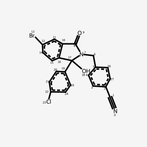 N#Cc1ccc(CN2C(=O)c3cc(Br)ccc3C2(O)c2ccc(Cl)cc2)cc1